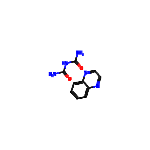 NC(=O)NC(N)=O.c1ccc2nccnc2c1